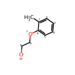 Cc1ccccc1OCC[O]